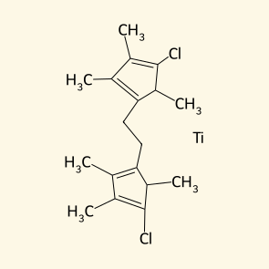 CC1=C(Cl)C(C)C(CCC2=C(C)C(C)=C(Cl)C2C)=C1C.[Ti]